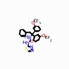 O=C(Nc1nncs1)NC(Cc1ccccc1)(c1cccc(OC(F)(F)F)c1)c1cccc(OC(F)(F)F)c1